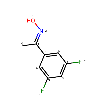 C/C(=N\O)c1cc(F)cc(F)c1